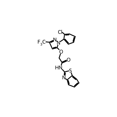 O=C(COc1cc(C(F)(F)F)nn1-c1ccccc1Cl)Nc1nc2ccccc2s1